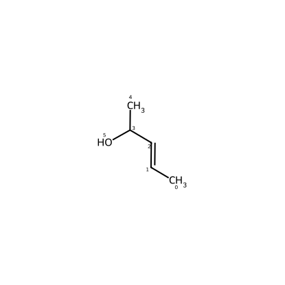 CC=CC(C)O